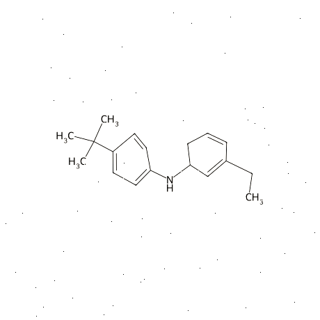 CCC1=CC(Nc2ccc(C(C)(C)C)cc2)CC=C1